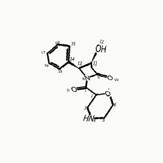 O=C(C1CNCCO1)N1C(=O)[C@H](O)[C@@H]1c1ccccc1